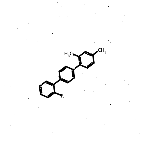 Cc1ccc(-c2ccc(-c3ccccc3F)cc2)c(C)c1